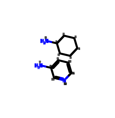 NC1CCCCC1.Nc1cccnc1